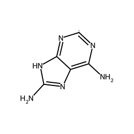 Nc1nc2c(N)n[c]nc2[nH]1